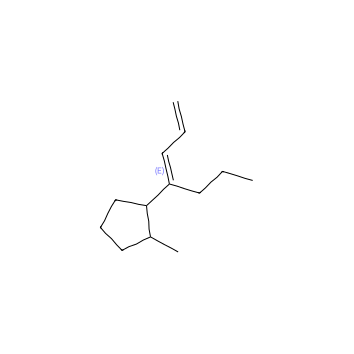 C=C/C=C(\CCC)C1CCCC1C